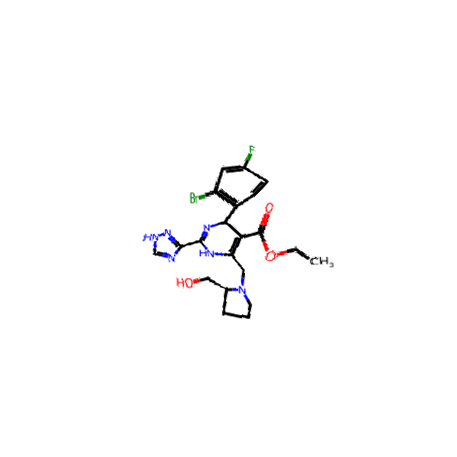 CCOC(=O)C1=C(CN2CCC[C@H]2CO)NC(c2nc[nH]n2)=NC1c1ccc(F)cc1Br